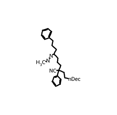 CCCCCCCCCCCCC(C#N)(CCCC(CCCc1ccccc1)/N=N/C)c1ccccc1